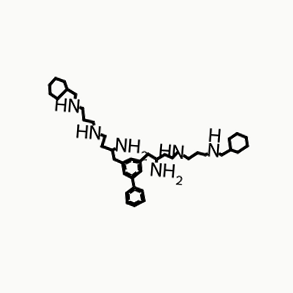 NC(CCNCCCNCC1CCCCC1)Cc1cc(CC(N)CCNCCCNCC2CCCCC2)cc(-c2ccccc2)c1